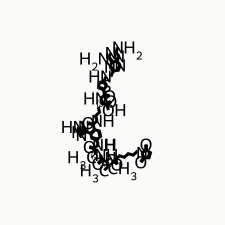 CC(C)[C@H](NC(=O)CCCCCN1C(=O)C=CC1=O)C(=O)N[C@@H](C)C(=O)Nc1ccc(C(=O)NCCC[C@H](NC(=O)c2ccc(NCc3cnc4nc(N)nc(N)c4n3)s2)C(=O)O)c(-c2nn[nH]n2)c1